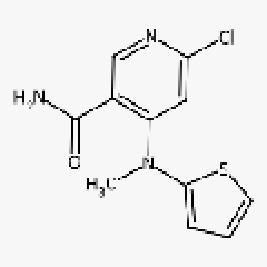 CN(c1cccs1)c1cc(Cl)ncc1C(N)=O